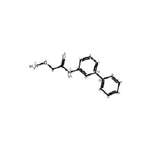 NOCC(=O)Nc1cccc(-c2ccccc2)c1